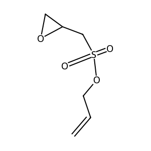 C=CCOS(=O)(=O)CC1CO1